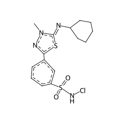 Cn1nc(-c2cccc(S(=O)(=O)NCl)c2)sc1=NC1CCCCC1